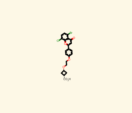 O=c1cc(-c2ccc(OCCO[C@H]3C[C@@H](C(=O)O)C3)cc2)oc2c(Cl)ccc(Br)c12